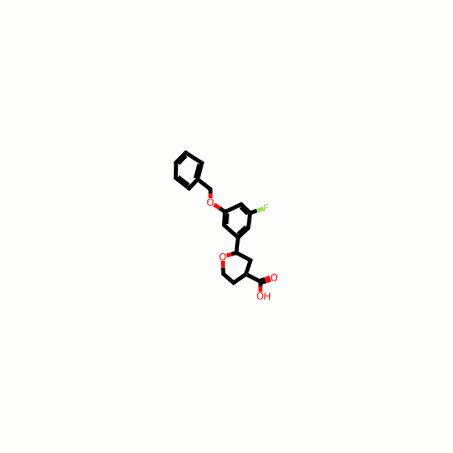 O=C(O)C1CCOC(c2cc(F)cc(OCc3ccccc3)c2)C1